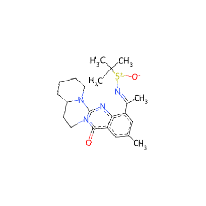 CC(=N[S+]([O-])C(C)(C)C)c1cc(C)cc2c(=O)n3c(nc12)N1CCCCC1CC3